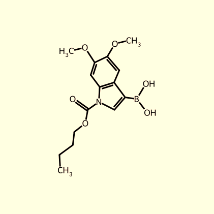 CCCCOC(=O)n1cc(B(O)O)c2cc(OC)c(OC)cc21